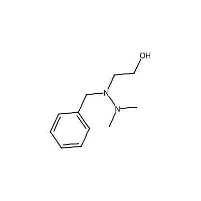 CN(C)N(CCO)Cc1ccccc1